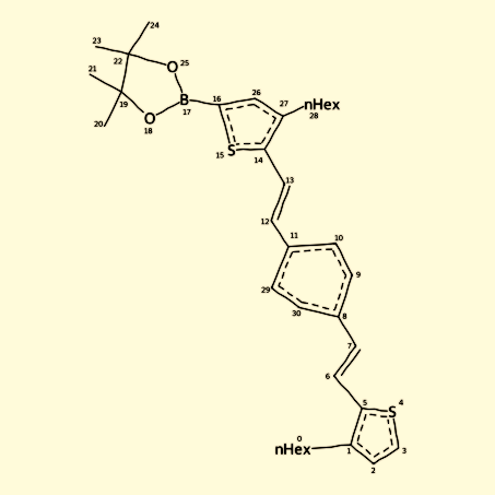 CCCCCCc1ccsc1/C=C/c1ccc(/C=C/c2sc(B3OC(C)(C)C(C)(C)O3)cc2CCCCCC)cc1